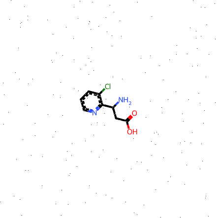 NC(CC(=O)O)c1ncccc1Cl